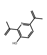 C=C(C)c1ccc(O)c(C(=C)C)n1